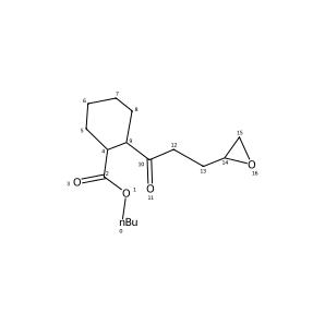 CCCCOC(=O)C1CCCCC1C(=O)CCC1CO1